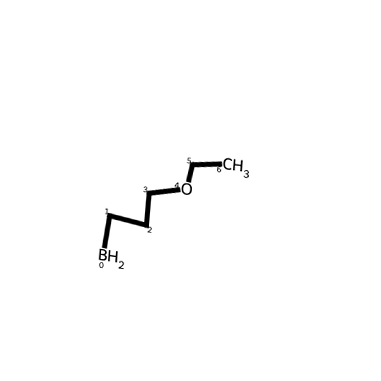 BCCCOCC